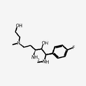 CNC(c1ccc(F)cc1)C(O)[C@@H](N)CCN(C)CCO